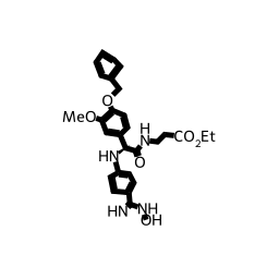 CCOC(=O)CCNC(=O)[C@@H](Nc1ccc(C(=N)NO)cc1)c1ccc(OCc2ccccc2)c(OC)c1